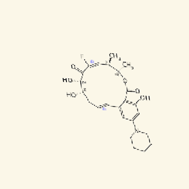 C[C@@H]1/C=C(/F)C(=O)[C@@H](O)[C@@H](O)C/C=C/c2cc(N3CCCCC3)cc(O)c2C(=O)O[C@H]1C